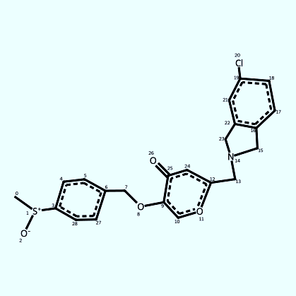 C[S+]([O-])c1ccc(COc2coc(CN3Cc4ccc(Cl)cc4C3)cc2=O)cc1